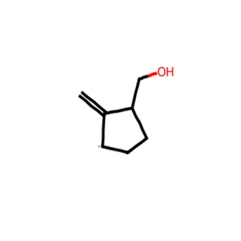 C=C1[CH]CCC1CO